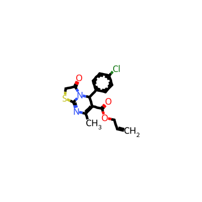 C=CCOC(=O)C1=C(C)N=C2SCC(=O)N2C1c1ccc(Cl)cc1